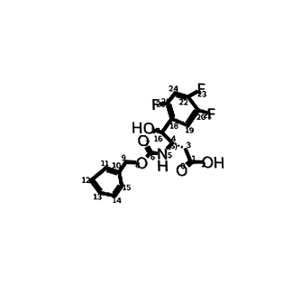 O=C(O)C[C@H](NC(=O)OCc1ccccc1)C(O)c1cc(F)c(F)cc1F